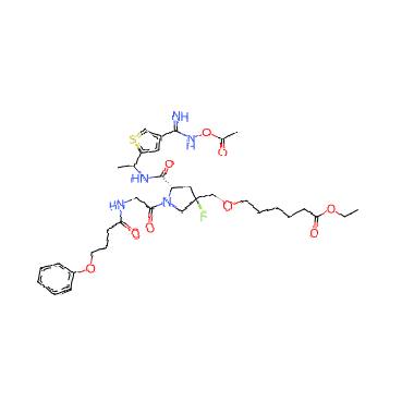 CCOC(=O)CCCCCOC[C@@]1(F)C[C@@H](C(=O)NC(C)c2cc(C(=N)NOC(C)=O)cs2)N(C(=O)CNC(=O)CCCOc2ccccc2)C1